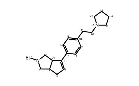 CCN1CC2CC=C(c3ccc(CCN4CCCC4)cc3)C2C1